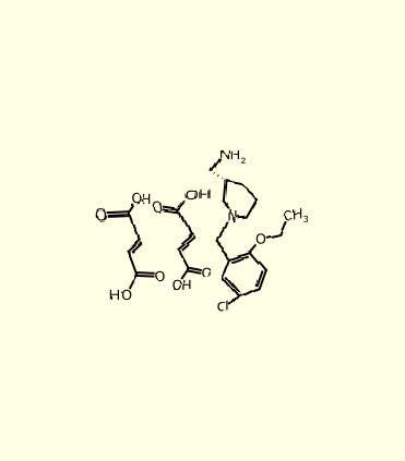 CCOc1ccc(Cl)cc1CN1CCC[C@@H](CN)C1.O=C(O)/C=C/C(=O)O.O=C(O)/C=C/C(=O)O